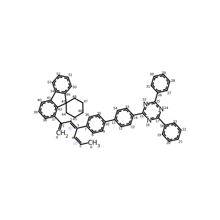 C=C(/C=C(\C=C/C)c1ccc(-c2ccc(-c3nc(-c4ccccc4)nc(-c4ccccc4)n3)cc2)cc1)c1cccc2c1C1(CCCCC1)c1ccccc1-2